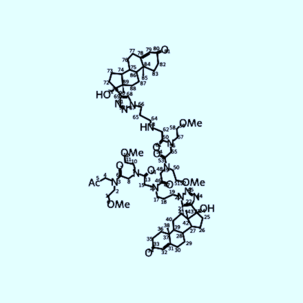 COCCN(CC(C)=O)C(=O)CN(CCOC)C(=O)CN(CCCn1cc([C@]2(O)CCC3C4CCC5=CC(=O)CC[C@]5(C)C4CC[C@@]32C)nn1)C(=O)CN(CCOC)C(=O)CN(CCOC)C(=O)CNCCCn1cc([C@]2(O)CCC3C4CCC5=CC(=O)CC[C@]5(C)C4CC[C@@]32C)nn1